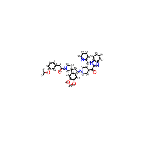 CC(C)Oc1cccc(CC(=O)N2CCC(CCN3CCC(C(=O)c4nc5ccccc5n4Cc4ccccn4)CC3)(c3ccc4c(c3)OCO4)C2)c1